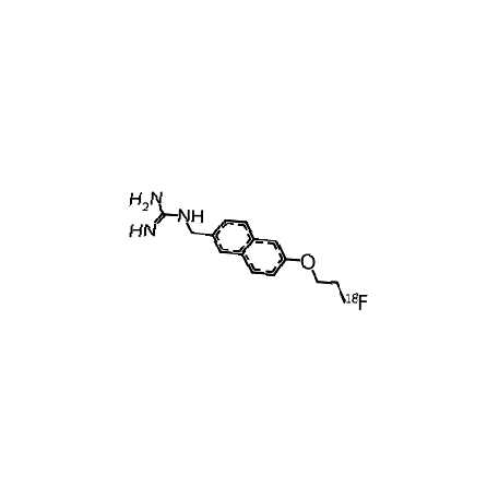 N=C(N)NCc1ccc2cc(OCCC[18F])ccc2c1